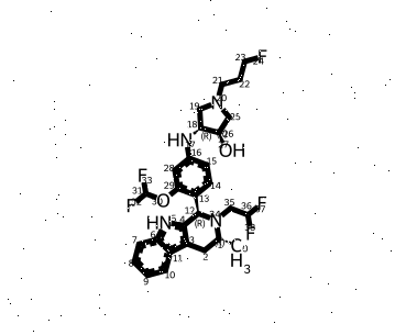 C[C@@H]1Cc2c([nH]c3ccccc23)[C@@H](c2ccc(N[C@@H]3CN(CCCF)C[C@H]3O)cc2OC(F)F)N1CC(F)F